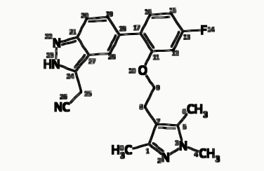 Cc1nn(C)c(C)c1CCOc1cc(F)ccc1-c1ccc2n[nH]c(CC#N)c2c1